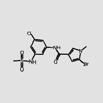 Cn1cc(C(=O)Nc2cc(Cl)cc(NS(C)(=O)=O)c2)cc1Br